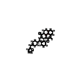 Cn1c(=O)c(CN(CC(c2ccccc2)C2CCN(Cc3cnco3)CC2)C(=O)C2CCCCC2)cc2ccccc21